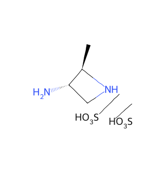 CS(=O)(=O)O.CS(=O)(=O)O.C[C@H]1NC[C@@H]1N